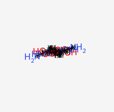 NCCNCC(O)c1cc([C@@H]2CC3(CC3)[C@@H]3CN2C(=O)N3OS(=O)(=O)ON2C(=O)N3C[C@H]2C2(CC2)C[C@H]3c2cc(C(O)CNCCN)on2)no1